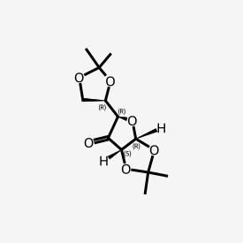 CC1(C)O[C@H]2O[C@H]([C@H]3COC(C)(C)O3)C(=O)[C@H]2O1